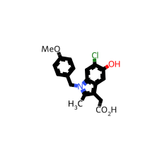 COc1ccc(Cn2c(C)c(CC(=O)O)c3cc(O)c(Cl)cc32)cc1